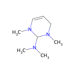 CN(C)C1N(C)C=CCN1C